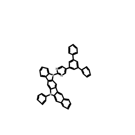 c1ccc(-c2cc(-c3ccccc3)cc(-c3cnc(-n4c5ccccc5c5cc6c(cc54)c4cc5ccccc5cc4n6-c4ccccc4)nc3)c2)cc1